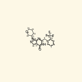 O=c1[nH]c(Cc2ccccc2C(F)(F)F)nc2c1cnn2C1CCCOC1